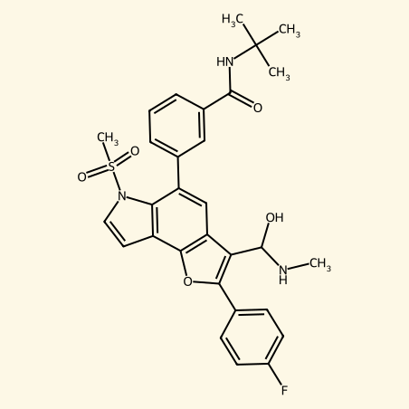 CNC(O)c1c(-c2ccc(F)cc2)oc2c1cc(-c1cccc(C(=O)NC(C)(C)C)c1)c1c2ccn1S(C)(=O)=O